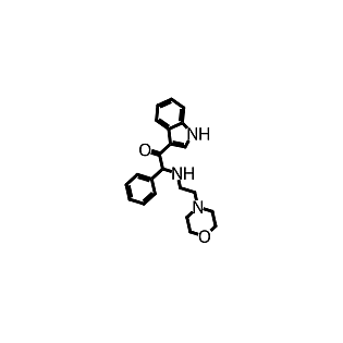 O=C(c1c[nH]c2ccccc12)C(NCCN1CCOCC1)c1ccccc1